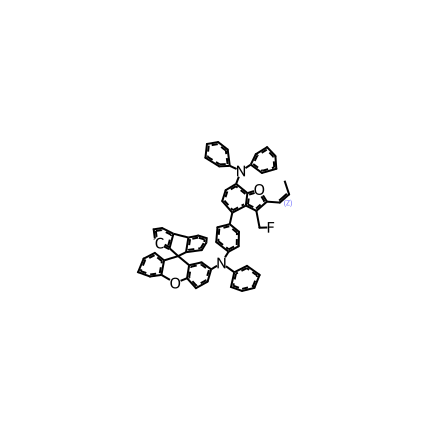 C/C=C\c1oc2c(N(c3ccccc3)c3ccccc3)ccc(-c3ccc(N(c4ccccc4)c4ccc5c(c4)C4(c6ccccc6O5)c5ccccc5-c5ccccc54)cc3)c2c1CF